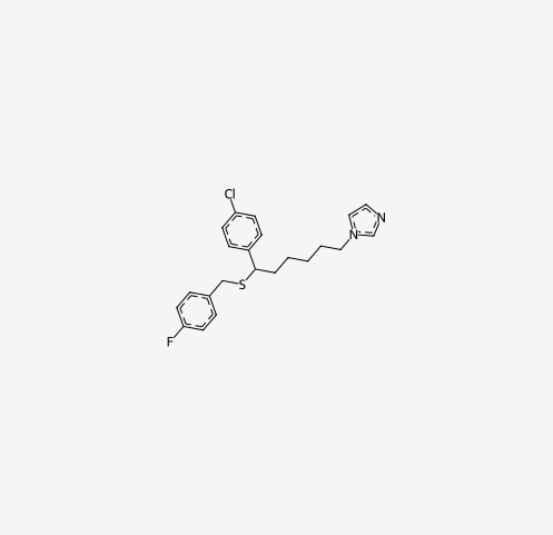 Fc1ccc(CSC(CCCCCn2ccnc2)c2ccc(Cl)cc2)cc1